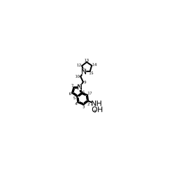 ONc1ccc2ccn(CCN3CCCC3)c2c1